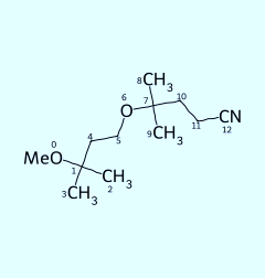 COC(C)(C)CCOC(C)(C)CCC#N